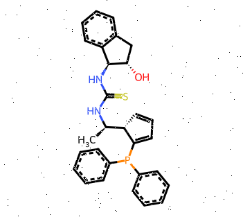 C[C@@H](NC(=S)N[C@H]1c2ccccc2C[C@@H]1O)[C@@H]1C=CC=C1P(c1ccccc1)c1ccccc1